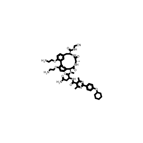 Cc1nc(-c2ccc(OC3CCCCC3)cc2)nc(C)c1C(=O)NC(CC(N)=O)C(=O)N(C)[C@@H]1C(=O)N[C@@H](C)C(=O)N[C@H](C(=O)NCC#N)Cc2ccc(OCCN)c(c2)-c2cc1ccc2OCCN